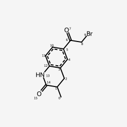 CC1Cc2cc(C(=O)CBr)ccc2NC1=O